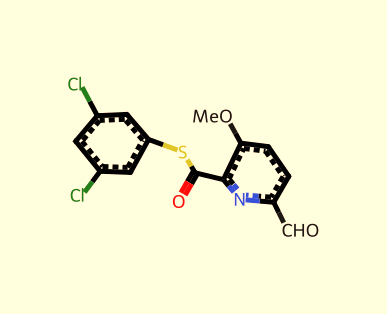 COc1ccc(C=O)nc1C(=O)Sc1cc(Cl)cc(Cl)c1